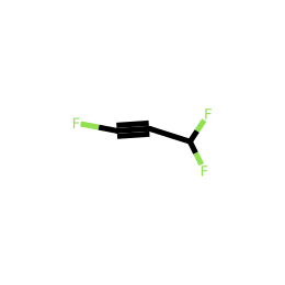 FC#CC(F)F